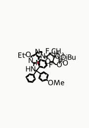 CCOc1nc(NC(c2ccccc2)(c2ccccc2)c2ccc(OC)cc2)nc2c1ncn2[C@@H]1O[C@]2(F)CO[P@](=O)(OCC(C)C)O[C@H]2[C@@]1(C)F